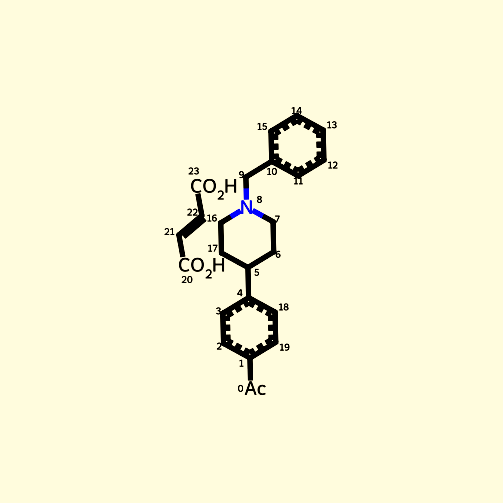 CC(=O)c1ccc(C2CCN(Cc3ccccc3)CC2)cc1.O=C(O)/C=C/C(=O)O